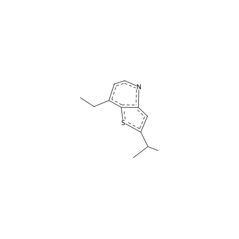 CCc1ccnc2cc(C(C)C)sc12